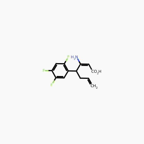 C=CCC(/C(N)=C\C(=O)O)c1cc(F)c(F)cc1F